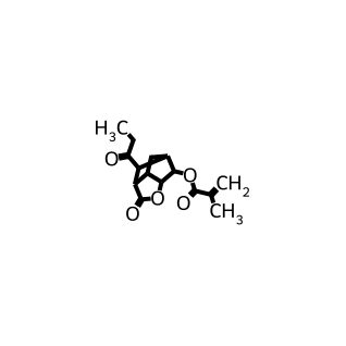 C=C(C)C(=O)OC1C2CC3C1OC(=O)C3C2C(=O)CC